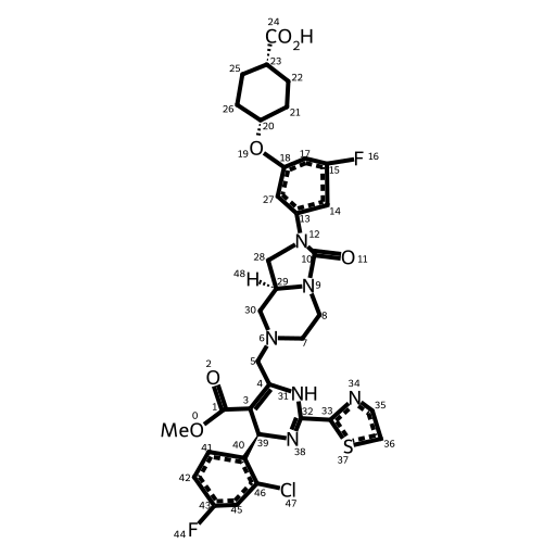 COC(=O)C1=C(CN2CCN3C(=O)N(c4cc(F)cc(O[C@H]5CC[C@@H](C(=O)O)CC5)c4)C[C@@H]3C2)NC(c2nccs2)=N[C@H]1c1ccc(F)cc1Cl